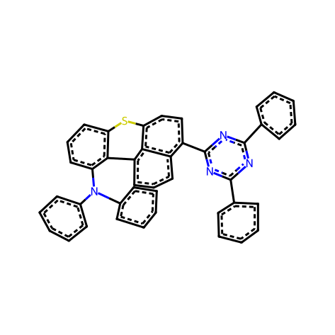 c1ccc(-c2nc(-c3ccccc3)nc(-c3ccc4c5c(cccc35)-c3c(cccc3N(c3ccccc3)c3ccccc3)S4)n2)cc1